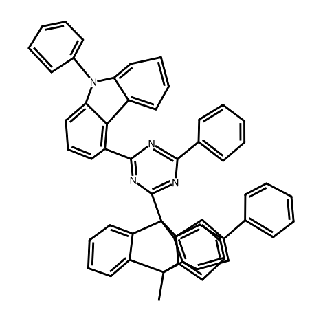 CC12c3ccccc3C(c3nc(-c4ccccc4)nc(-c4cccc5c4c4ccccc4n5-c4ccccc4)n3)(c3ccccc31)c1cc(-c3ccccc3)ccc12